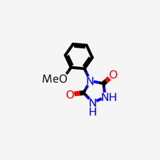 COc1ccccc1-n1c(=O)[nH][nH]c1=O